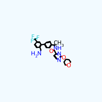 C[C@@H](NC(=O)c1ccnc(OC2CCOCC2)n1)c1ccc(-c2cc(C(F)(F)F)ccc2CN)cc1